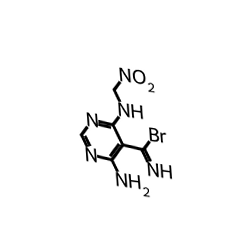 N=C(Br)c1c(N)ncnc1NC[N+](=O)[O-]